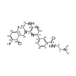 CN(C)CCNC(=O)c1cccc(-c2cnc3c(n2)N(CC2C(F)=CC=C(F)C2Cl)CCN3)c1